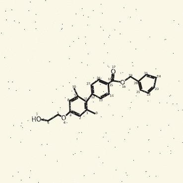 Cc1cc(OCCO)cc(C)c1-c1ccc(C(=O)OCc2ccccc2)cc1